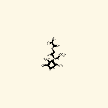 CCC(CC)C(=O)SCC(=O)N(CC(=O)O)c1c(C)ccc(Cl)c1C